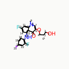 C[C@@H](CO)COc1cn(C)c2cc(F)cc(Nc3ccc(I)cc3F)c2c1=O